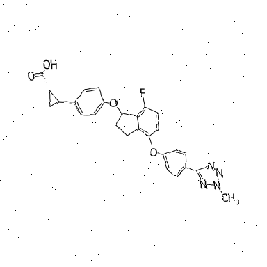 Cn1nnc(-c2ccc(Oc3ccc(F)c4c3CCC4Oc3ccc(C4C[C@@H]4C(=O)O)cc3)cc2)n1